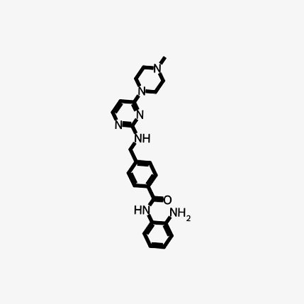 CN1CCN(c2ccnc(NCc3ccc(C(=O)Nc4ccccc4N)cc3)n2)CC1